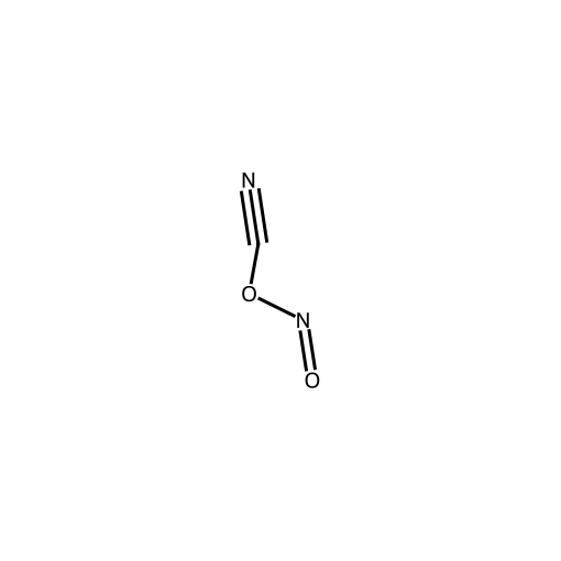 N#CON=O